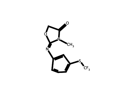 CN1C(=O)COC1=Nc1cccc(SC(F)(F)F)c1